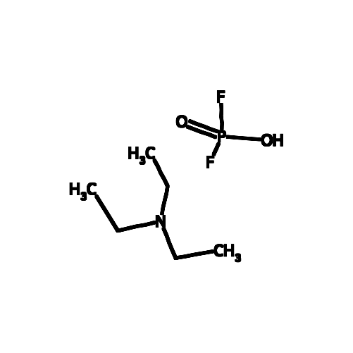 CCN(CC)CC.O=P(O)(F)F